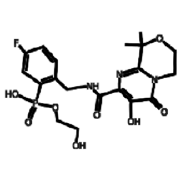 CC1(C)OCCn2c1nc(C(=O)NCc1ccc(F)cc1P(=O)(O)OCCO)c(O)c2=O